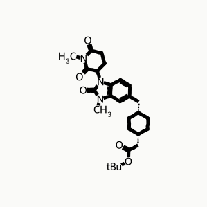 CN1C(=O)CCC(n2c(=O)n(C)c3cc(C[C@H]4CC[C@@H](CC(=O)OC(C)(C)C)CC4)ccc32)C1=O